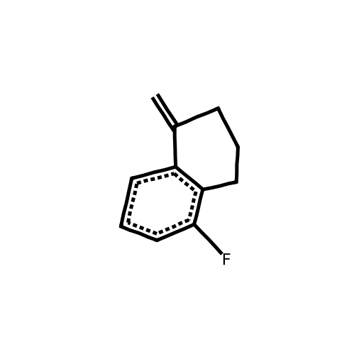 C=C1CCCc2c(F)cccc21